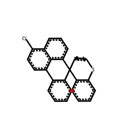 Clc1ccc2c3c(cccc13)C1(c3ccccc3Sc3ccccc31)c1ccccc1-2